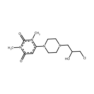 Cn1c(N2CCN(CC(O)CCl)CC2)cc(=O)n(C)c1=O